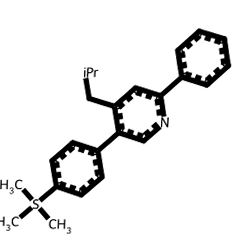 CC(C)Cc1cc(-c2ccccc2)ncc1-c1ccc(S(C)(C)C)cc1